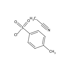 CC#N.Cc1ccc(S(=O)(=O)Cl)cc1